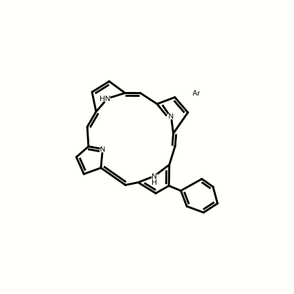 C1=Cc2cc3cc(-c4ccccc4)c(cc4nc(cc5ccc(cc1n2)[nH]5)C=C4)[nH]3.[Ar]